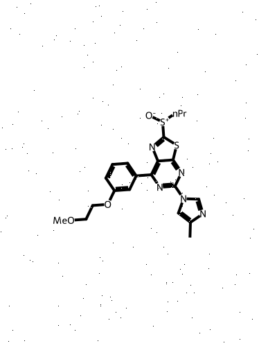 CCC[S+]([O-])c1nc2c(-c3cccc(OCCOC)c3)nc(-n3cnc(C)c3)nc2s1